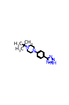 CC(C)(C)N1CCN(c2ccc(-c3nn[nH]n3)cc2)CC1